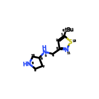 CC(C)(C)c1cc(CNC2CCNC2)ns1